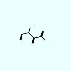 C=CC(C)C(=O)C(=C)C